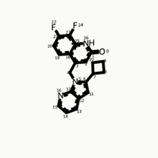 O=c1cc(Cn2c(C3CCC3)cc3cccnc32)c2ccc(F)c(F)c2[nH]1